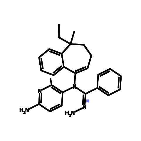 CCC1(C)CCC=C(N(/C(=N\N)c2ccccc2)c2ccc(N)nc2C)c2ccccc21